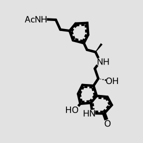 CC(=O)NCCc1cccc(C[C@@H](C)NC[C@H](O)c2ccc(O)c3[nH]c(=O)ccc23)c1